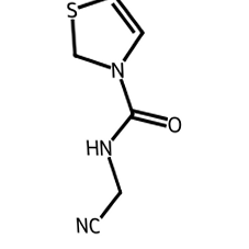 N#CCNC(=O)N1C=CSC1